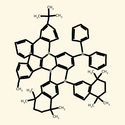 Cc1ccc2sc3c(c2c1)B1c2cc4c(cc2N(c2ccc5c(c2)C(C)(C)CCC5(C)C)c2cc(N(c5ccccc5)c5ccccc5)cc(c21)N3c1ccc(C(C)(C)C)cc1-c1ccccc1)C(C)(C)CCC4(C)C